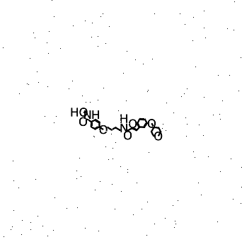 O=C(NO)c1ccc(OCCCCNC(=O)c2cc3cc(OC4CCOCC4)ccc3o2)cc1